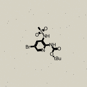 CC(C)(C)OC(=O)Nc1ncc(Br)cc1NS(C)(=O)=O